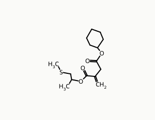 C=C(CC(=O)OC1CCCCC1)C(=O)OC(C)CSC